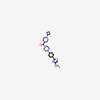 Cc1coc(-c2ccc(N3CCN(C(=O)C4CCN(C5CCC5)CC4)CC3)cc2)n1